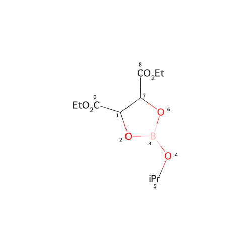 CCOC(=O)C1OB(OC(C)C)OC1C(=O)OCC